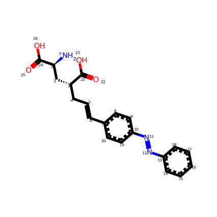 N[C@@H](C[C@@H](C/C=C/c1ccc(/N=N/c2ccccc2)cc1)C(=O)O)C(=O)O